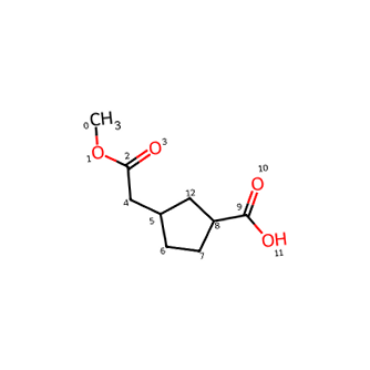 COC(=O)CC1CCC(C(=O)O)C1